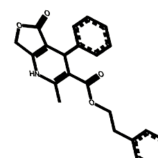 CC1=C(C(=O)OCCc2ccccc2)C(c2ccccc2)C2=C(COC2=O)N1